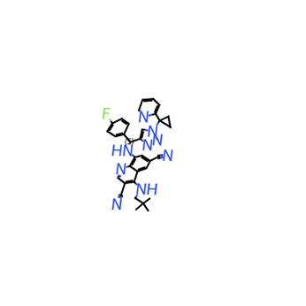 CC(C)(C)CNc1c(C#N)cnc2c(N[C@@H](c3ccc(F)cc3)c3cn(C4(c5ccccn5)CC4)nn3)cc(C#N)cc12